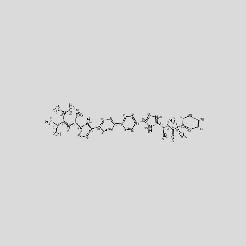 CN(C)C(=NC(c1ncc(-c2ccc(-c3ccc(-c4cnc([C@@H](NC(=O)C(C)(C)C5=CCCCC5)C(C)(C)C)[nH]4)cc3)cc2)[nH]1)C(C)(C)C)N(C)C